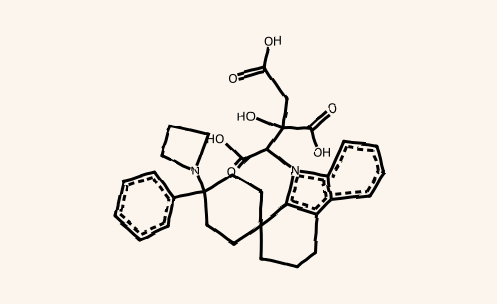 O=C(O)CC(O)(C(=O)O)C(C(=O)O)n1c2c(c3ccccc31)CCCC21CCC(c2ccccc2)(N2CCC2)CC1